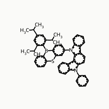 CC(C)c1cc(C(C)C)c(B2c3ccccc3Sc3cc(-n4c5ccccc5c5ccc6c(c7ccccc7n6-c6ccccc6)c54)ccc32)c(C(C)C)c1